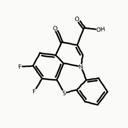 O=C(O)c1cn2c3c(c(F)c(F)cc3c1=O)Sc1ccccc1-2